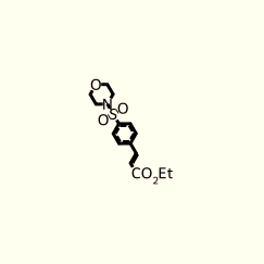 CCOC(=O)C=Cc1ccc(S(=O)(=O)N2CCOCC2)cc1